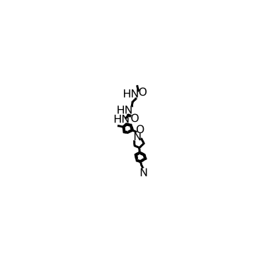 CC(=O)NCCCNC(=O)Nc1cc(C(=O)N2CCC(c3ccc(C#N)cc3)CC2)ccc1C